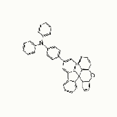 c1ccc(N(c2ccccc2)c2ccc(-c3ccc4c(c3)-c3ccccc3C43c4ccccc4Oc4ccc5ccccc5c43)cc2)cc1